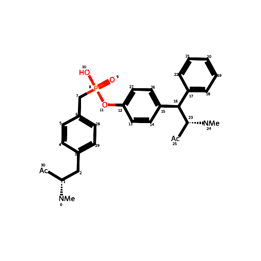 CN[C@@H](Cc1ccc(CP(=O)(O)Oc2ccc(C(c3ccccc3)[C@H](NC)C(C)=O)cc2)cc1)C(C)=O